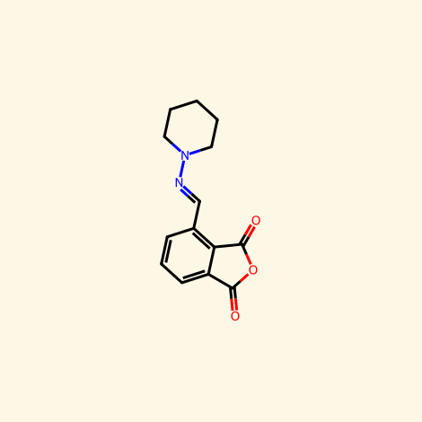 O=C1OC(=O)c2c(C=NN3CCCCC3)cccc21